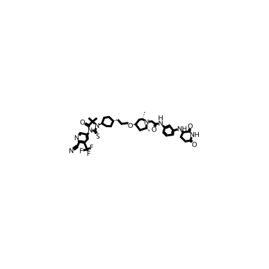 C[C@@H]1C[C@H](OCCC[C@H]2CC[C@H](N3C(=S)N(c4cnc(C#N)c(C(F)(F)F)c4)C(=O)C3(C)C)CC2)C[C@H](C)N1CC(=O)Nc1cccc(NC2CCC(=O)NC2=O)c1